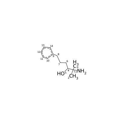 CC(C)(N)C(O)CCCc1ccccc1